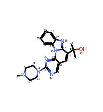 CN1CCN(c2ncc3cc(C(C)(C)O)c4nc5ccccc5n4c3n2)CC1